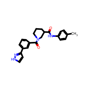 Cc1ccc(NC(=O)C2CCCN(C(=O)c3cccc(-c4cc[nH]n4)c3)C2)cc1